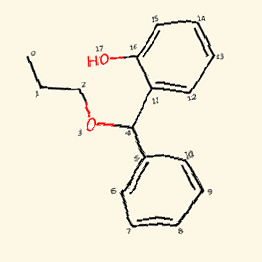 CCCOC(c1ccccc1)c1ccccc1O